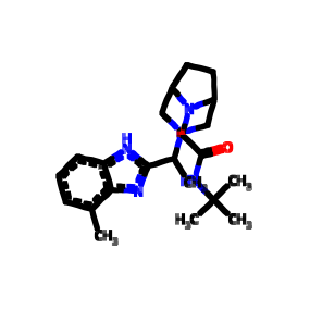 Cc1cccc2[nH]c(C(C)N3CC4CCC(C3)N4CC(=O)NC(C)(C)C)nc12